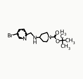 CC(C)(C)OC(=O)N1CCC(NCc2ccc(Br)cn2)CC1